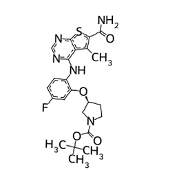 Cc1c(C(N)=O)sc2ncnc(Nc3ccc(F)cc3O[C@H]3CCN(C(=O)OC(C)(C)C)C3)c12